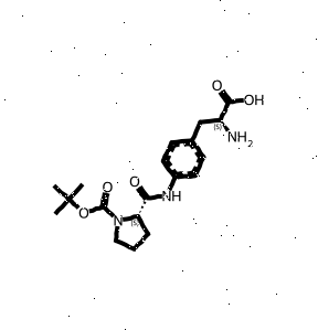 CC(C)(C)OC(=O)N1CCC[C@H]1C(=O)Nc1ccc(C[C@H](N)C(=O)O)cc1